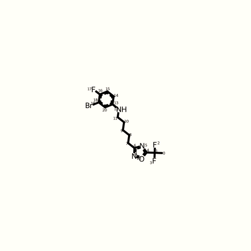 CC(F)(F)c1nc(CCCCCNc2ccc(F)c(Br)c2)no1